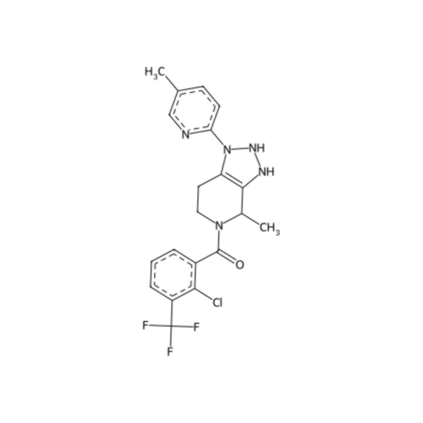 Cc1ccc(N2NNC3=C2CCN(C(=O)c2cccc(C(F)(F)F)c2Cl)C3C)nc1